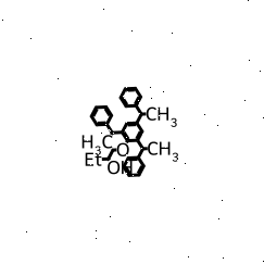 CCC(O)COc1c(C(C)c2ccccc2)cc(C(C)c2ccccc2)cc1C(C)c1ccccc1